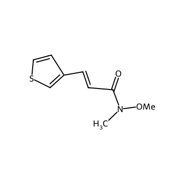 CON(C)C(=O)C=Cc1ccsc1